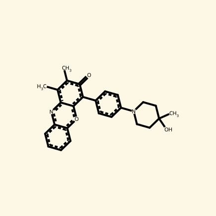 Cc1c2nc3ccccc3oc-2c(-c2ccc(N3CCC(C)(O)CC3)cc2)c(=O)c1C